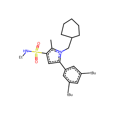 CCNS(=O)(=O)c1cc(-c2cc(C(C)(C)C)cc(C(C)(C)C)c2)n(CC2CCCCC2)c1C